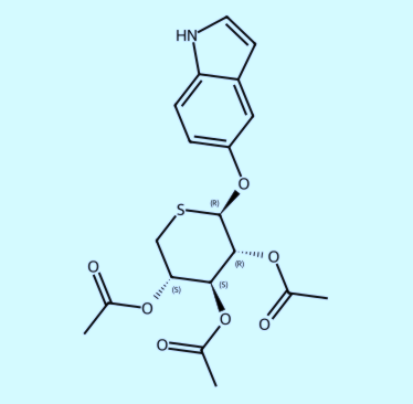 CC(=O)O[C@@H]1[C@@H](OC(C)=O)[C@H](OC(C)=O)CS[C@H]1Oc1ccc2[nH]ccc2c1